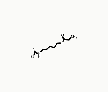 C=CC(=O)OCCCCCNC(=O)CC